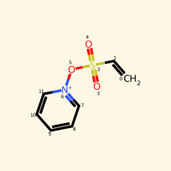 C=CS(=O)(=O)O[n+]1ccccc1